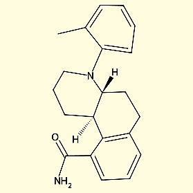 Cc1ccccc1N1CCC[C@@H]2c3c(cccc3C(N)=O)CC[C@H]21